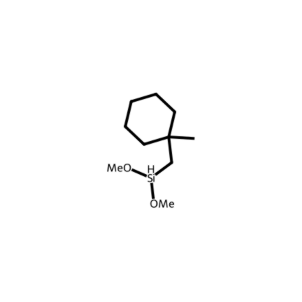 CO[SiH](CC1(C)CCCCC1)OC